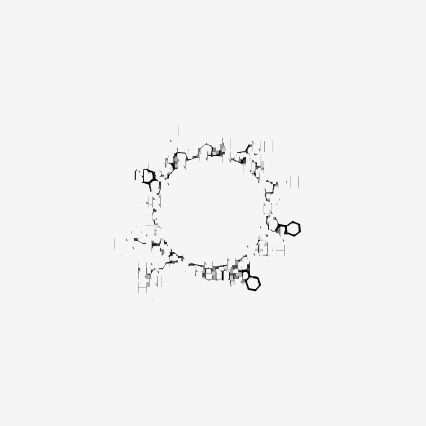 CCCC[C@H]1C(=O)N(C)[C@@H](CCCC)C(=O)N[C@@H](CCCNC(=N)N)C(=O)N[C@H](C(=O)NCC(N)=O)CSCC(=O)N[C@@H](Cc2cccnc2)C(=O)N(C)[C@@H](C)C(=O)NC(CC(N)=O)C(=O)N2CCC[C@H]2C(=O)N[C@@H](Cc2c[nH]cn2)C(=O)N[C@@H](CC(C)C)C(=O)N2C[C@H](O)CC2C(=O)N[C@@H](Cc2c[nH]c3ccccc23)C(=O)N[C@@H](CO)C(=O)N[C@@H](Cc2c[nH]c3ccccc23)C(=O)N1C